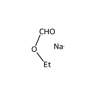 CCOC=O.[Na]